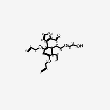 C=CCOc1cc(OCC=C)c(-c2ccsc2C=O)c(CCOCCO)c1CC